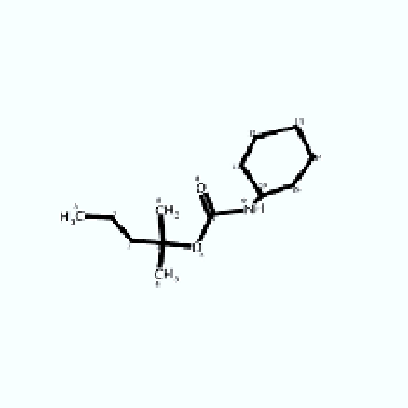 CCCC(C)(C)OC(=O)NC1CCCCC1